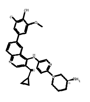 COc1cc(-c2ccc3ncc(C(=O)C4CC4)c(Nc4ccc(N5CCC[C@H](N)C5)nc4)c3c2)cc(Cl)c1O